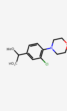 COC(C(=O)O)c1ccc(N2CCOCC2)c(Cl)c1